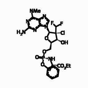 CCOC(=O)[C@H](C)N[P@](=O)(OC[C@H]1O[C@@H](n2cnc3c(NC)nc(N)nc32)[C@@](Cl)(C(F)F)[C@@H]1O)Oc1ccccc1